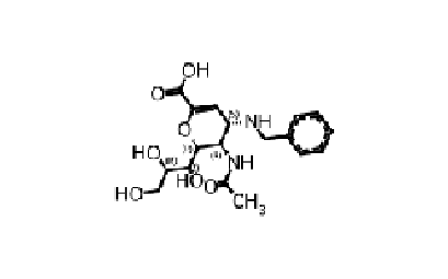 CC(=O)N[C@H]1[C@H]([C@H](O)[C@H](O)CO)OC(C(=O)O)=C[C@@H]1NCc1ccccc1